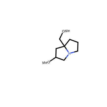 COCC12CCCN1CC(OC)C2